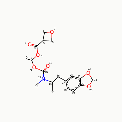 CC(OC(=O)C1COC1)OC(=O)N(C)C(C)Cc1ccc2c(c1)OCO2